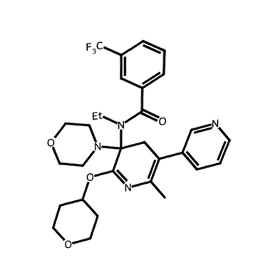 CCN(C(=O)c1cccc(C(F)(F)F)c1)C1(N2CCOCC2)CC(c2cccnc2)=C(C)N=C1OC1CCOCC1